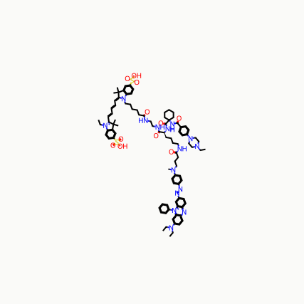 CCN1CCN(c2ccc(C(=O)NC3(C(=O)N[C@@H](CCCCNC(=O)CCCN(C)c4ccc(/N=N/c5ccc6nc7ccc(N(CC)CC)cc7[n+](-c7ccccc7)c6c5)cc4)C(=O)NCCNC(=O)CCCCCN4\C(=C/C=C/C=C/C5=[N+](CC)c6ccc(S(=O)(=O)O)cc6C5(C)C)C(C)(C)c5cc(S(=O)(=O)O)ccc54)CCCCC3)cc2)CC1